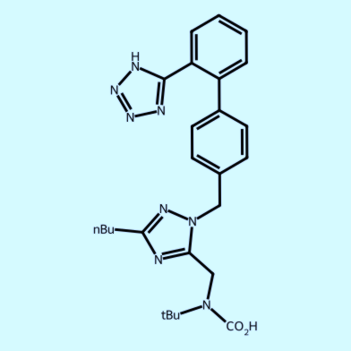 CCCCc1nc(CN(C(=O)O)C(C)(C)C)n(Cc2ccc(-c3ccccc3-c3nnn[nH]3)cc2)n1